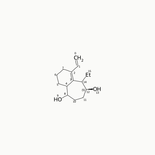 C=CC1=C2C(CCC1)C(O)CC[C@H](O)C2CC